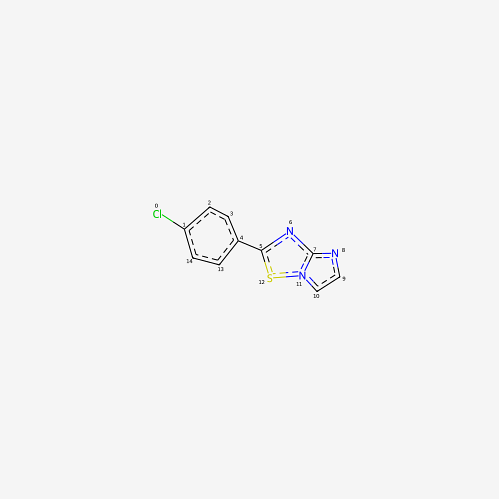 Clc1ccc(-c2nc3nccn3s2)cc1